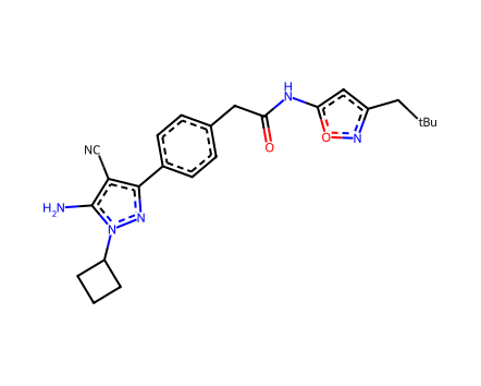 CC(C)(C)Cc1cc(NC(=O)Cc2ccc(-c3nn(C4CCC4)c(N)c3C#N)cc2)on1